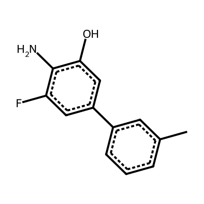 Cc1cccc(-c2cc(O)c(N)c(F)c2)c1